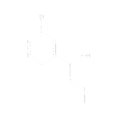 C/C=C/C(O)c1cccc(Br)c1